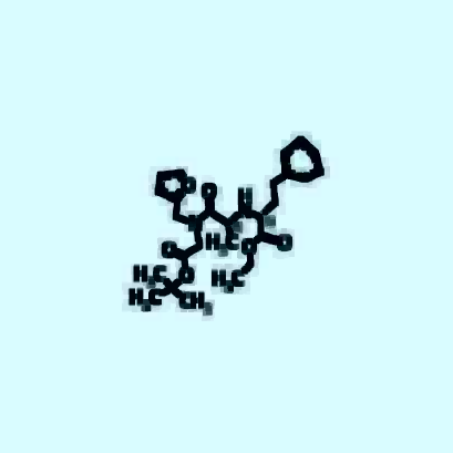 CCOC(=O)[C@H](CCc1ccccc1)N[C@@H](C)C(=O)N(CC(=O)OC(C)(C)C)Cc1ccco1